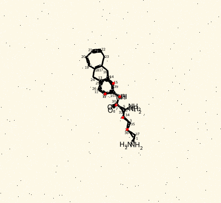 NCCCC[C@H](N)C(=O)Nc1ccc2c(c1)C1C3=C(C=CC#CC3)C2c2ccc(NC(=O)[C@@H](N)CCCCN)cc21